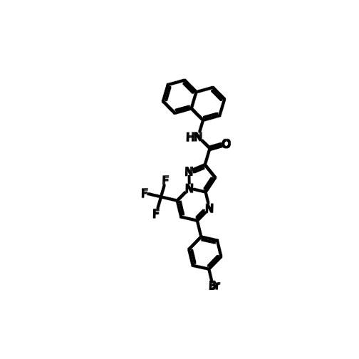 O=C(Nc1cccc2ccccc12)c1cc2nc(-c3ccc(Br)cc3)cc(C(F)(F)F)n2n1